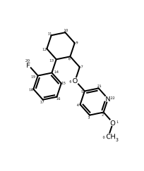 COc1ccc(OCC2CCCCC2c2ccccc2F)cn1